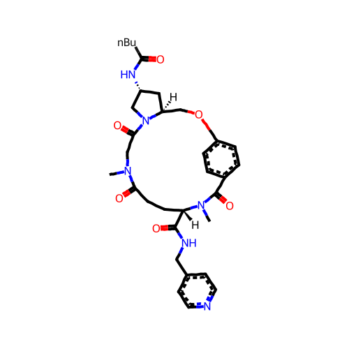 CCCCC(=O)N[C@@H]1C[C@H]2COc3ccc(cc3)C(=O)N(C)[C@H](C(=O)NCc3ccncc3)CCC(=O)N(C)CC(=O)N2C1